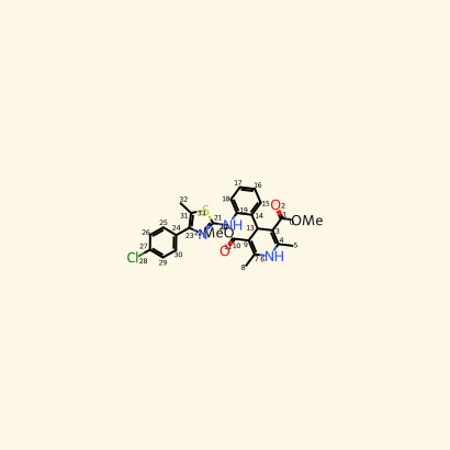 COC(=O)C1=C(C)NC(C)=C(C(=O)OC)C1c1ccccc1Nc1nc(-c2ccc(Cl)cc2)c(C)s1